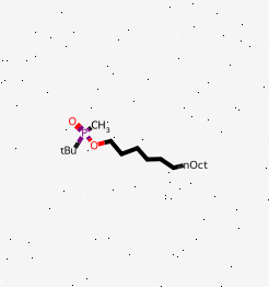 CCCCCCCCCCCCCCOP(C)(=O)C(C)(C)C